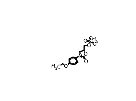 CCOc1ccc(N2CC(COS(C)(=O)=O)OC2=O)cc1